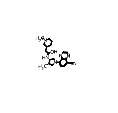 C[C@@H]1CN(c2ccc(C#N)c3nccnc23)C[C@@H]1NC(O)CC1CCCN(C)C1